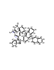 C=C/C(=C\C=C/C)n1c(-c2ccc3c(-c4ccc5ccccc5c4)c4ccccc4c(-c4ccc5c(c4)C=CCC5C)c3c2)nc2c1C=CCC2